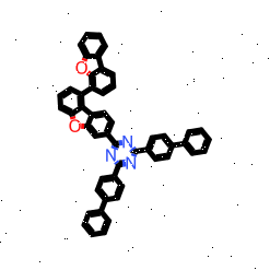 c1ccc(-c2ccc(-c3nc(-c4ccc(-c5ccccc5)cc4)nc(-c4ccc5c(c4)oc4cccc(-c6cccc7c6oc6ccccc67)c45)n3)cc2)cc1